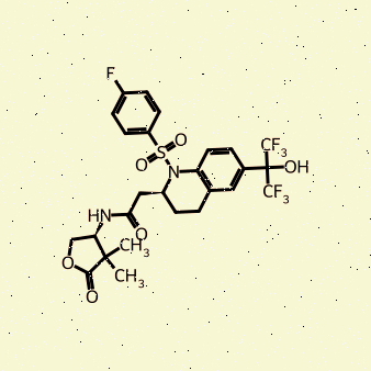 CC1(C)C(=O)OC[C@H]1NC(=O)C[C@@H]1CCc2cc(C(O)(C(F)(F)F)C(F)(F)F)ccc2N1S(=O)(=O)c1ccc(F)cc1